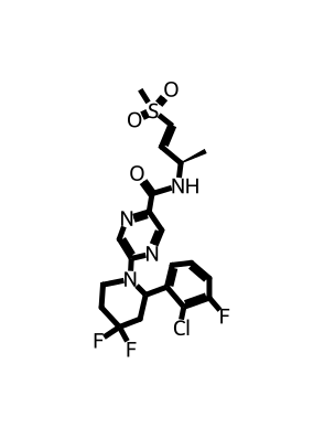 C[C@H](/C=C/S(C)(=O)=O)NC(=O)c1cnc(N2CCC(F)(F)CC2c2cccc(F)c2Cl)cn1